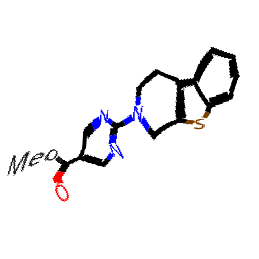 COC(=O)c1cnc(N2CCc3c(sc4ccccc34)C2)nc1